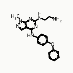 Cn1ncc2c(Nc3ccc(Oc4ccccc4)cc3)nc(NCCN)nc21